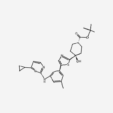 Cc1cc(Nc2nccc(C3CC3)n2)cc(-c2cnc([C@]3(O)CC[C@H](C(=O)OC(C)(C)C)CC3)s2)c1